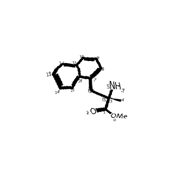 COC(=O)[C@@](C)(N)Cc1cccc2ccccc12